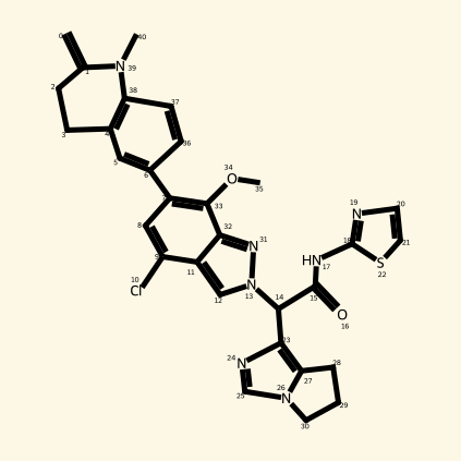 C=C1CCc2cc(-c3cc(Cl)c4cn(C(C(=O)Nc5nccs5)c5ncn6c5CCC6)nc4c3OC)ccc2N1C